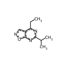 CCc1nc(C(C)C)nc2oncc12